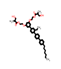 C=C(CO)C(=O)OCCOc1cc(OCCOC(=O)C(=C)CO)cc(-c2ccc(-c3ccc(-c4ccc(CCCCCCC)cc4)cc3)c(CC)c2)c1